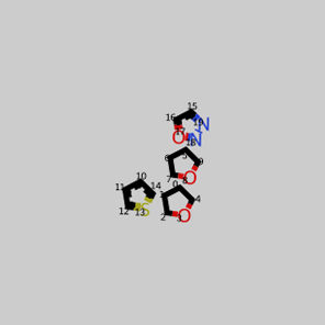 C1CCOC1.C1CCOC1.c1ccsc1.c1conn1